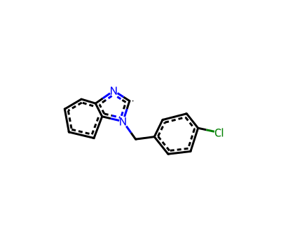 Clc1ccc(Cn2[c]nc3ccccc32)cc1